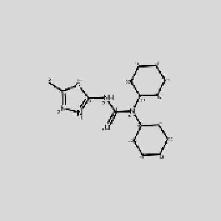 Cc1nnc(NC(=O)N(C2CCCCC2)C2CCCCC2)s1